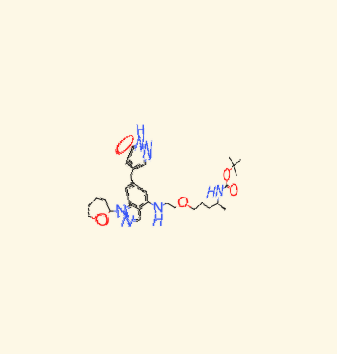 C[C@@H](CCCOCCNc1cc(-c2cn[nH]c(=O)c2)cc2c1cnn2C1CCCCO1)NC(=O)OC(C)(C)C